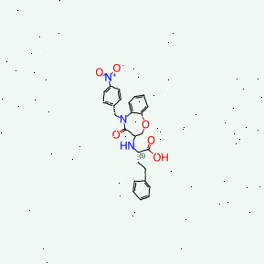 O=C(O)[C@H](CCc1ccccc1)NC1COc2ccccc2N(Cc2ccc([N+](=O)[O-])cc2)C1=O